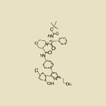 CC(C)(C)OC(=O)N[C@@H](C(=O)N1CCOCC1C(=O)Nc1ccc(-c2cn(CCO)nc2-c2cc(Cl)ccc2O)cc1)c1ccccc1